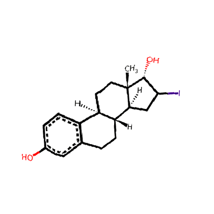 C[C@]12CC[C@@H]3c4ccc(O)cc4CC[C@H]3[C@@H]1CC(I)[C@H]2O